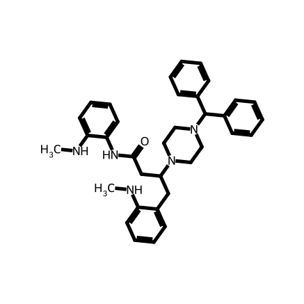 CNc1ccccc1CC(CC(=O)Nc1ccccc1NC)N1CCN(C(c2ccccc2)c2ccccc2)CC1